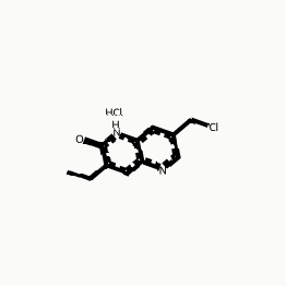 CCc1cc2ncc(CCl)cc2[nH]c1=O.Cl